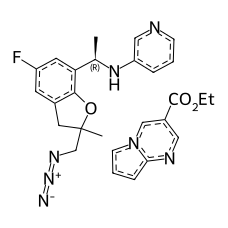 CCOC(=O)c1cnc2cccn2c1.C[C@@H](Nc1cccnc1)c1cc(F)cc2c1OC(C)(CN=[N+]=[N-])C2